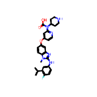 CC(C)c1cc(Nc2nc3cc(Oc4ccnc(N(C(=O)O)C5CCNCC5)c4)ccc3n2C)ccc1F